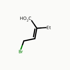 CCC(=CCBr)C(=O)O